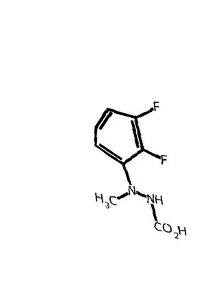 CN(NC(=O)O)c1cccc(F)c1F